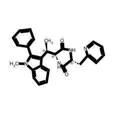 C[C@H](c1c(-c2ccccc2)n(C)c2ccccc12)[C@H]1NC(=O)[C@@H](Cc2ccccn2)NC1=O